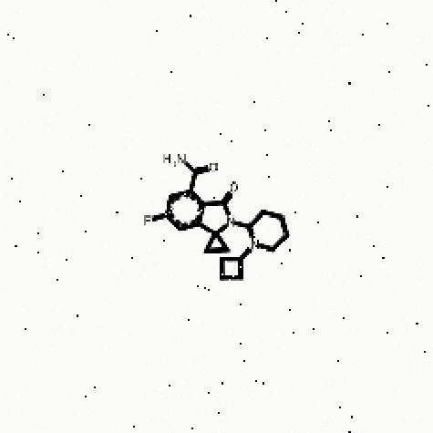 NC(=O)c1cc(F)cc2c1C(=O)N(C1CCCCN1C1CCC1)C21CC1